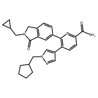 NC(=O)c1ccc(-c2cnn(CC3CCCC3)c2)c(-c2ccc3c(c2)C(=O)N(CC2CC2)C3)n1